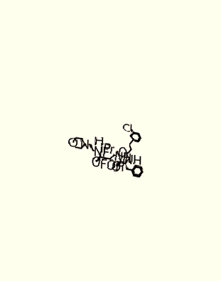 CC(C)[C@H](NC(=O)[C@H](Cc1ccccc1)NC(=O)CCc1cccc(Cl)c1)[C@@H](O)C(F)(F)C(=O)NCCN1CCOCC1